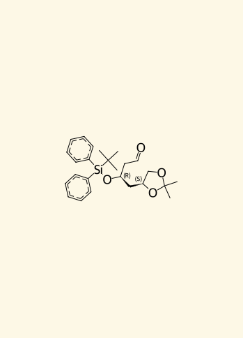 CC1(C)OC[C@H](C[C@H](CC=O)O[Si](c2ccccc2)(c2ccccc2)C(C)(C)C)O1